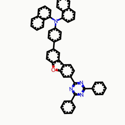 c1ccc(-c2nc(-c3ccccc3)nc(-c3ccc4c(c3)oc3ccc(-c5ccc(N(c6cccc7ccccc67)c6cccc7ccccc67)cc5)cc34)n2)cc1